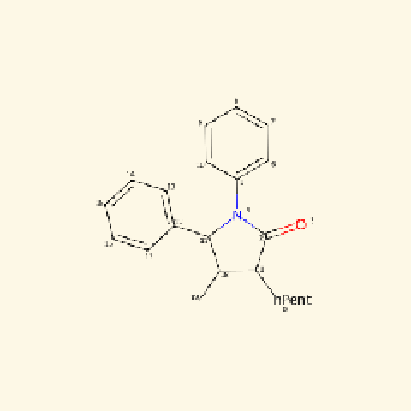 CCCCCC1C(=O)N(c2ccccc2)C(c2ccccc2)C1C